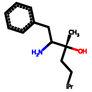 CC(C)CC[C@@](C)(O)[C](N)Cc1ccccc1